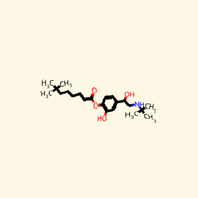 CC(C)(C)CCCCCC(=O)Oc1ccc(C(O)CNC(C)(C)C)cc1O